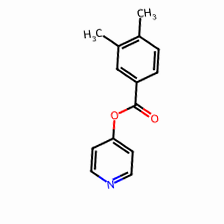 Cc1ccc(C(=O)Oc2ccncc2)cc1C